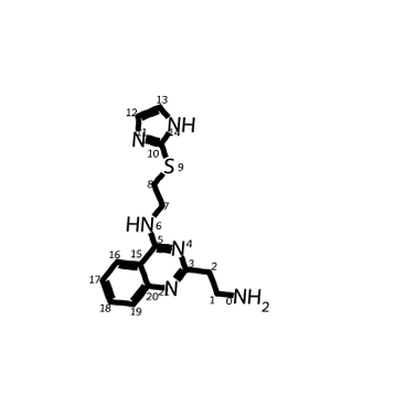 NCCc1nc(NCCSc2ncc[nH]2)c2ccccc2n1